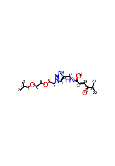 CC(C)COCCOCCn1cc(CNC(=O)/C=C/C(=O)C(C)C)nn1